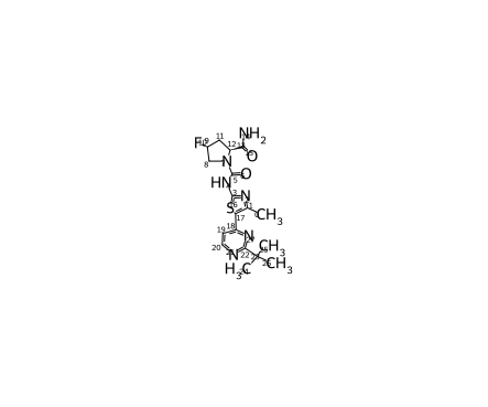 Cc1nc(NC(=O)N2C[C@@H](F)C[C@H]2C(N)=O)sc1-c1ccnc(C(C)(C)C)n1